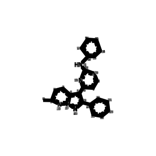 Cc1ccc2c(-c3ccnc(Nc4ccccc4)n3)c(-c3ccccc3)nn2n1